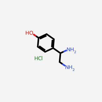 Cl.NCC(N)c1ccc(O)cc1